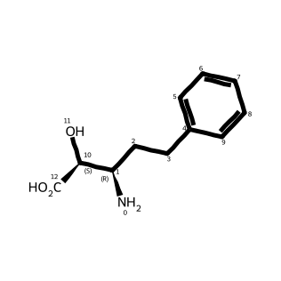 N[C@H](CCc1ccccc1)[C@H](O)C(=O)O